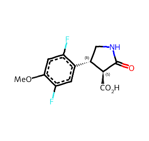 COc1cc(F)c([C@@H]2CNC(=O)[C@H]2C(=O)O)cc1F